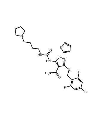 NC(=O)c1c(OCc2c(F)cc(Br)cc2F)nsc1NC(=O)NCCCCN1CCCC1.c1cnsc1